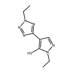 CCn1nnc(-c2cnn(CC)c2S)n1